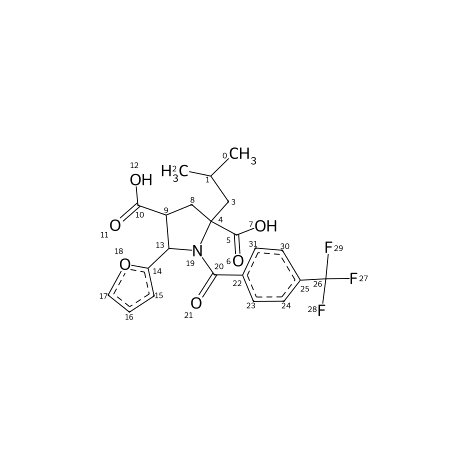 CC(C)CC1(C(=O)O)CC(C(=O)O)C(c2ccco2)N1C(=O)c1ccc(C(F)(F)F)cc1